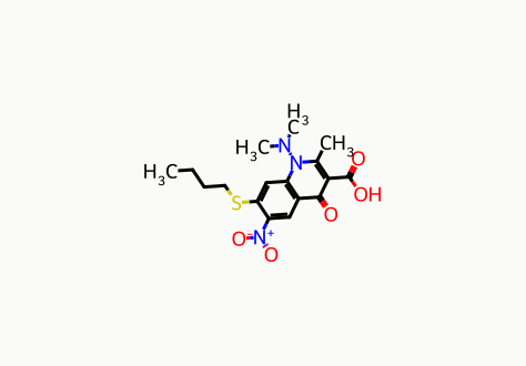 CCCCSc1cc2c(cc1[N+](=O)[O-])c(=O)c(C(=O)O)c(C)n2N(C)C